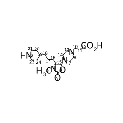 CN1C(=O)OC(N2CCN(CCC(=O)O)CC2)C1CCCC1CCNCC1